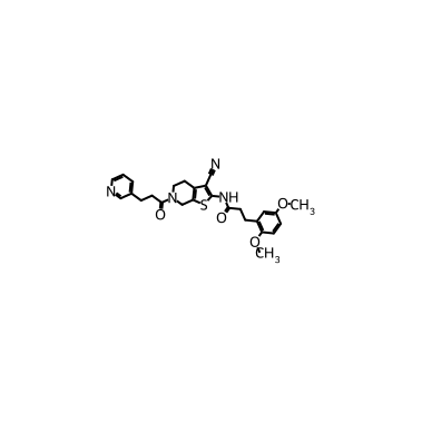 COc1ccc(OC)c(CCC(=O)Nc2sc3c(c2C#N)CCN(C(=O)CCc2cccnc2)C3)c1